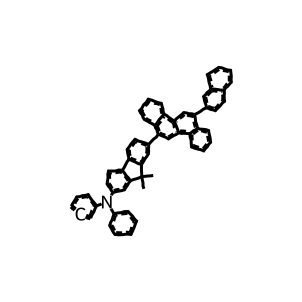 CC1(C)c2cc(-c3cc4c5ccccc5c(-c5ccc6ccccc6c5)cc4c4ccccc34)ccc2-c2ccc(N(c3ccccc3)c3ccccc3)cc21